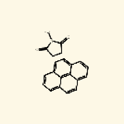 O=C1CCC(=O)N1O.c1cc2ccc3cccc4ccc(c1)c2c34